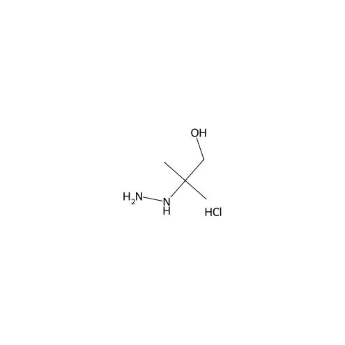 CC(C)(CO)NN.Cl